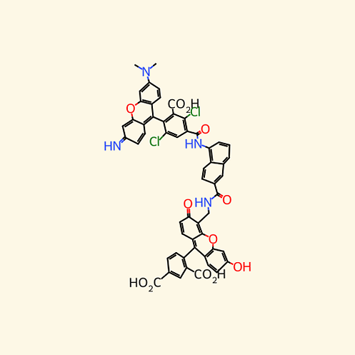 CN(C)c1ccc2c(-c3c(Cl)cc(C(=O)Nc4cccc5cc(C(=O)NCc6c7oc8cc(O)ccc8c(-c8ccc(C(=O)O)cc8C(=O)O)c-7ccc6=O)ccc45)c(Cl)c3C(=O)O)c3ccc(=N)cc-3oc2c1